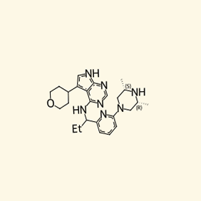 CCC(Nc1ncnc2[nH]cc(C3CCOCC3)c12)c1cccc(N2C[C@@H](C)N[C@@H](C)C2)n1